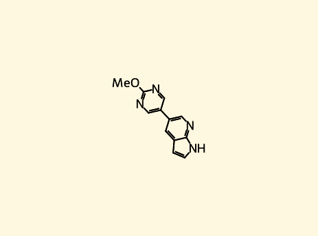 COc1ncc(-c2cnc3[nH]ccc3c2)cn1